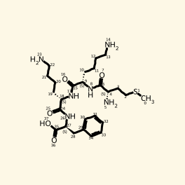 CSCC[C@H](N)C(=O)N[C@@H](CCCCN)C(=O)N[C@@H](CCCCN)C(=O)N[C@@H](Cc1ccccc1)C(=O)O